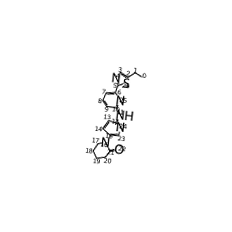 CCc1cnc(-c2cccc(Nc3ccc(N4CCCCC4=O)cn3)n2)s1